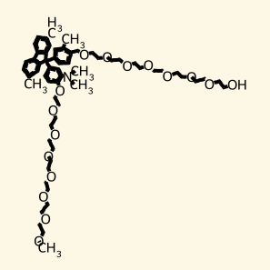 COCCOCCOCCOCCOCCOCCOCCOc1ccc(C2(c3ccc(COCCOCCOCCOCCOCCOCCOCCO)c(C)c3)c3cc(C)ccc3-c3ccc(C)cc32)cc1N(C)C